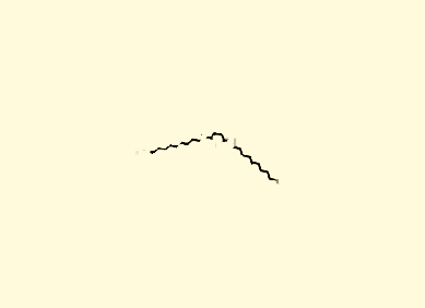 CC(C)CCCCCCCCCNC(=O)/C=C\C(=O)NCCCCCCCCCC(C)C